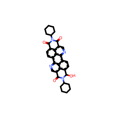 O=C1c2ccc3c4ncc5c6c(ccc(c7ncc(c2c37)C(=O)N1C1CCCCC1)c64)C(O)N(C1CCCCC1)C5=O